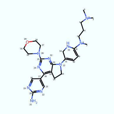 CN(C)CCCN(C)C1=CC=C(N2CCc3c(-c4cnc(N)nc4)nc(N4CCOCC4)nc32)CN1